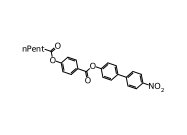 CCCCCC(=O)Oc1ccc(C(=O)Oc2ccc(-c3ccc([N+](=O)[O-])cc3)cc2)cc1